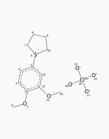 COc1ccc([S+]2CCCC2)cc1OC.[O-][Cl+3]([O-])([O-])[O-]